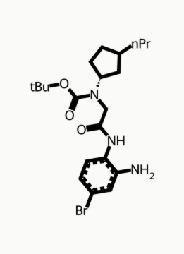 CCCC1CC[C@@H](N(CC(=O)Nc2ccc(Br)cc2N)C(=O)OC(C)(C)C)C1